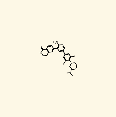 CC(C)[C@@H]1CN(c2c(F)cc(-c3cnc(N)c(-c4ccc5c(c4)CCNC5=O)c3)cc2F)CCO1